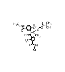 CCNC(=O)c1ccc(C)c(N(OCOCOC(=O)C(C)O)C(=N)c2c(C)c(C(=O)NC3CC3)cn2C)c1